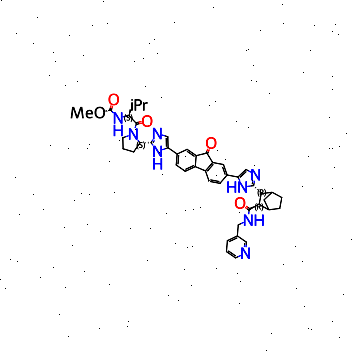 COC(=O)N[C@H](C(=O)N1CCC[C@H]1c1ncc(-c2ccc3c(c2)C(=O)c2cc(-c4cnc([C@@H]5C6CCC(C6)[C@H]5C(=O)NCc5cccnc5)[nH]4)ccc2-3)[nH]1)C(C)C